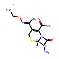 CCON=C(C)C1=C(C(=O)O)N2C(=O)[C@@H](N)[C@@H]2SC1